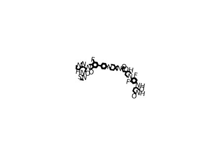 O=C1CCC(Nc2cc(F)c(N3CCC(O)(CC(=O)N4CC5(CCN(c6ccc(-c7cc(F)c8c(c7)C(=O)N(C(C(=O)Nc7nccs7)c7ncn9c7CCC9)C8)cc6)CC5)C4)CC3)c(F)c2)C(=O)N1